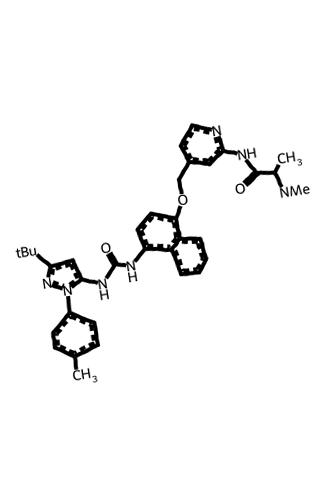 CNC(C)C(=O)Nc1cc(COc2ccc(NC(=O)Nc3cc(C(C)(C)C)nn3-c3ccc(C)cc3)c3ccccc23)ccn1